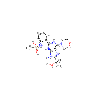 CC1(C)OCCn2c1nc1c(N3CCOCC3)nc(-c3ccccc3NS(C)(=O)=O)nc12